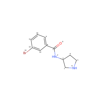 O=C(NC1CCNC1)c1cccc(Br)c1